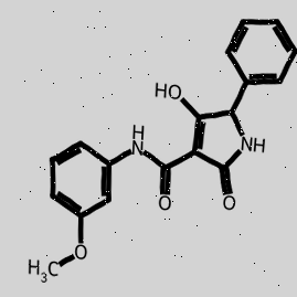 COc1cccc(NC(=O)C2=C(O)C(c3ccccc3)NC2=O)c1